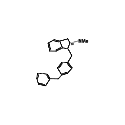 CN[C@H]1Cc2ccccc2C1Cc1ccc(Cc2ccccc2)cc1